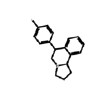 Ic1ccc(C2CN3CCCC3c3ccccc32)cc1